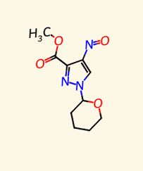 COC(=O)c1nn(C2CCCCO2)cc1N=O